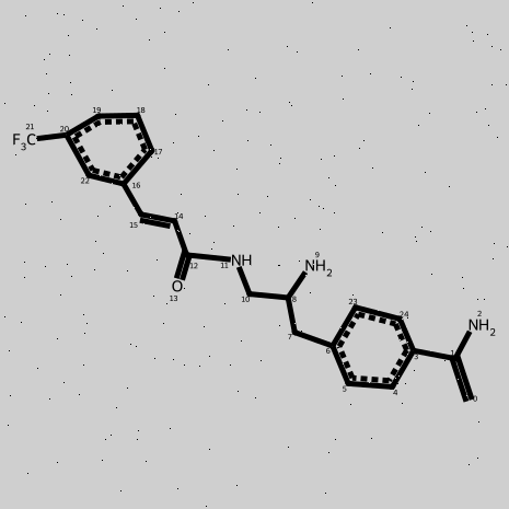 C=C(N)c1ccc(CC(N)CNC(=O)/C=C/c2cccc(C(F)(F)F)c2)cc1